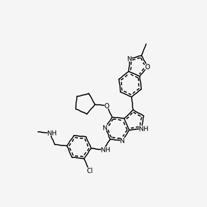 CNCc1ccc(Nc2nc(OC3CCCC3)c3c(-c4ccc5nc(C)oc5c4)c[nH]c3n2)c(Cl)c1